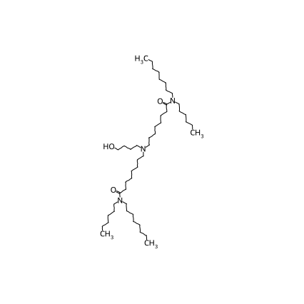 CCCCCCCCN(CCCCCC)C(=O)CCCCCCCN(CCCCO)CCCCCCCC(=O)N(CCCCCC)CCCCCCCC